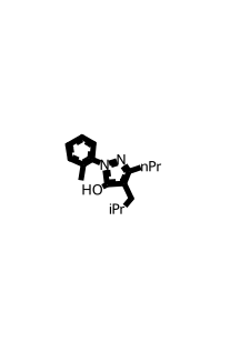 CCCc1nn(-c2ccccc2C)c(O)c1CC(C)C